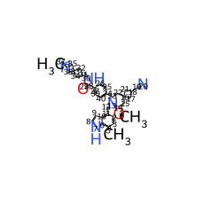 COc1cc(C)c2[nH]ccc2c1CN1CCC2(CC(C#N)C2)CC1c1ccc(C(=O)NC2CC3(C2)CN(C)C3)cc1